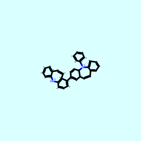 C1=CC2C(C=Cc3ccccc3N2c2ccccc2)C=C1c1cccc2c1C=Cc1ccccc1N2